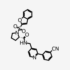 N#Cc1cccc(-c2cc(CNC(=O)[C@@H]3CCCN3S(=O)(=O)c3cc4ccccc4o3)ccn2)c1